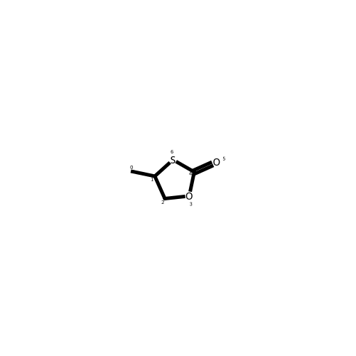 CC1COC(=O)S1